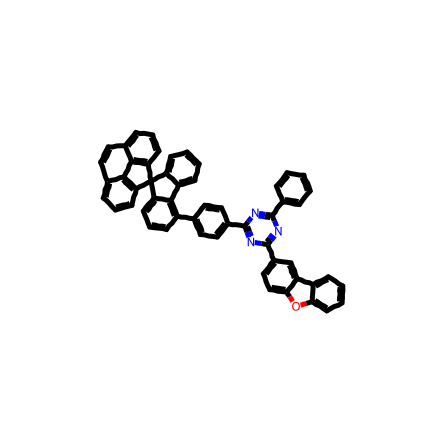 c1ccc(-c2nc(-c3ccc(-c4cccc5c4-c4ccccc4C54c5cccc6ccc7cccc4c7c56)cc3)nc(-c3ccc4oc5ccccc5c4c3)n2)cc1